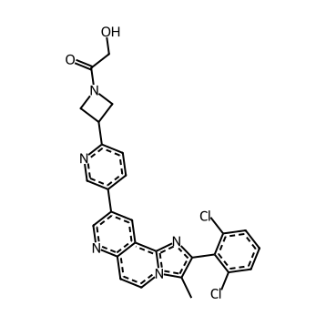 Cc1c(-c2c(Cl)cccc2Cl)nc2c3cc(-c4ccc(C5CN(C(=O)CO)C5)nc4)cnc3ccn12